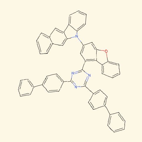 c1ccc(-c2ccc(-c3nc(-c4ccc(-c5ccccc5)cc4)nc(-c4cc(-n5c6ccccc6c6cc7ccccc7cc65)cc5oc6ccccc6c45)n3)cc2)cc1